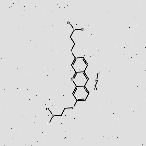 CCN(CC)CCOc1ccc2cc3ccc(OCCN(CC)CC)cc3nc2c1.[Cl][Pt][Cl]